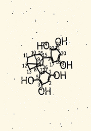 Oc1cc(O)c(O)c(C23CC4CC(C2)CC(c2cc(O)cc(O)c2O)(C4)C3)c1